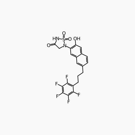 O=C1CN(c2cc3cc(CCCc4c(F)c(F)c(F)c(F)c4F)ccc3cc2O)S(=O)(=O)N1